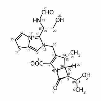 C[C@@H](O)[C@H]1C(=O)N2C(C(=O)[O-])=C(Cn3cc4scc[n+]4c3[C@@H](CO)NC=O)[C@H](C)[C@H]12